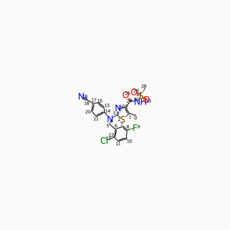 Cc1sc(N(Cc2cc(F)ccc2Cl)c2ccc(C#N)cc2)nc1C(=O)NS(C)(=O)=O